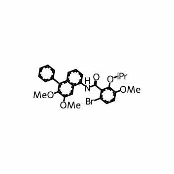 COc1ccc(Br)c(C(=O)Nc2cccc3c(-c4ccccc4)c(OC)c(OC)cc23)c1OC(C)C